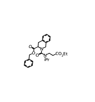 CCOC(=O)CCN(C(=O)N1Cc2ccccc2CC1C(=O)OCc1ccccc1)C(C)C